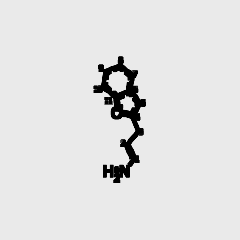 NC=CCc1cc2ccccc2o1